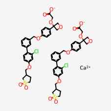 O=C([O-])COC1(c2ccc(OCc3cccc(-c4ccc(OCC5CCS(=O)(=O)C5)cc4Cl)c3)cc2)COC1.O=C([O-])COC1(c2ccc(OCc3cccc(-c4ccc(OCC5CCS(=O)(=O)C5)cc4Cl)c3)cc2)COC1.[Ca+2]